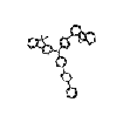 CC1(C)c2ccccc2-c2ccc(N(c3ccc(C4=CCC(c5ccccc5)C=C4)cc3)c3ccc(-c4cccc5c4oc4ccccc45)cc3)cc21